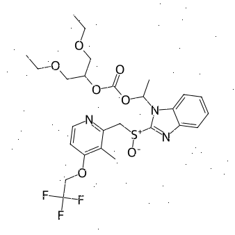 CCOCC(COCC)OC(=O)OC(C)n1c([S+]([O-])Cc2nccc(OCC(F)(F)F)c2C)nc2ccccc21